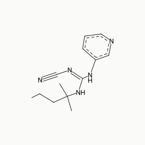 CCCC(C)(C)NC(=NC#N)Nc1cccnc1